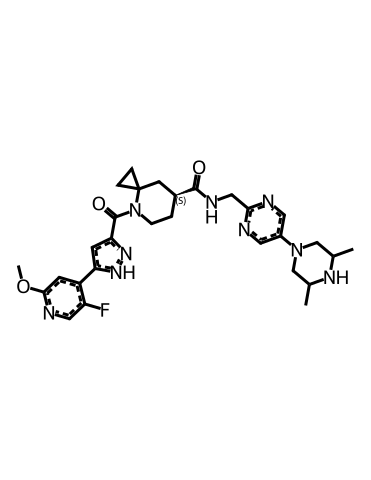 COc1cc(-c2cc(C(=O)N3CC[C@H](C(=O)NCc4ncc(N5CC(C)NC(C)C5)cn4)CC34CC4)n[nH]2)c(F)cn1